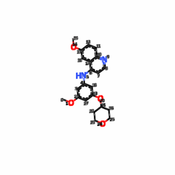 COc1cc(Nc2ccnc3ccc(OC)cc23)cc(OC2CCOCC2)c1